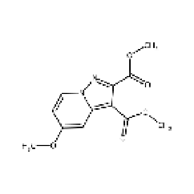 COC(=O)c1nn2ccc(OC)cc2c1C(=O)OC